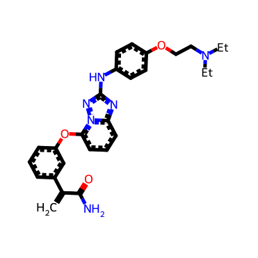 C=C(C(N)=O)c1cccc(Oc2cccc3nc(Nc4ccc(OCCN(CC)CC)cc4)nn23)c1